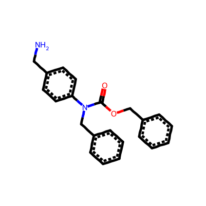 NCc1ccc(N(Cc2ccccc2)C(=O)OCc2ccccc2)cc1